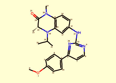 COc1ccc(-c2ccnc(Nc3ccc4c(c3)N(C(C)C)[C@H](C)C(=O)N4C)n2)cc1